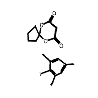 Cc1cc(C)c(I)c(C)c1.O=C1CC(=O)OC2(CCCC2)O1